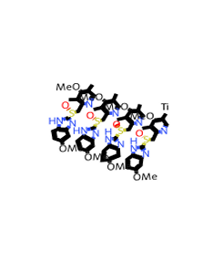 COc1ccc2[nH]c(S(=O)Cc3ncc(C)c(OC)c3C)nc2c1.COc1ccc2[nH]c(S(=O)Cc3ncc(C)c(OC)c3C)nc2c1.COc1ccc2[nH]c(S(=O)Cc3ncc(C)c(OC)c3C)nc2c1.COc1ccc2[nH]c(S(=O)Cc3ncc(C)c(OC)c3C)nc2c1.[Ti]